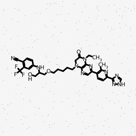 CCN1C(=O)CN(CCCCCOCC(CO)Nc2ccc(C#N)c(C(F)(F)F)c2)c2ncc(-c3ccc(-c4nc[nH]n4)nc3C)nc21